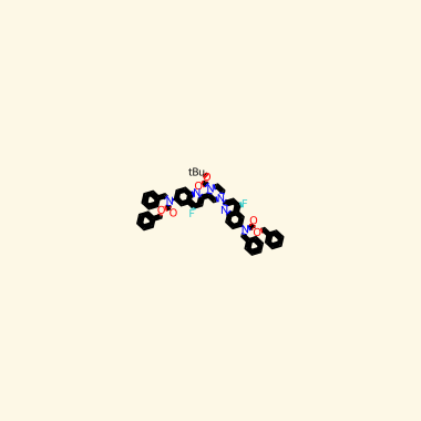 CC(C)(C)OC(=O)N1CCN(c2cc(F)c3c(n2)CC[C@H](N(Cc2ccccc2)C(=O)OCc2ccccc2)C3)CC1c1cc(F)c2c(n1)CC[C@H](N(Cc1ccccc1)C(=O)OCc1ccccc1)C2